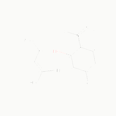 C=C(C)C1CCC(C)CC1O.CC(=O)OCC=C(C)C